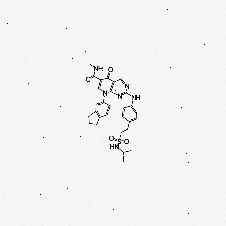 CNC(=O)c1cn(-c2ccc3c(c2)CCC3)c2nc(Nc3ccc(CCS(=O)(=O)NC(C)C)cc3)ncc2c1=O